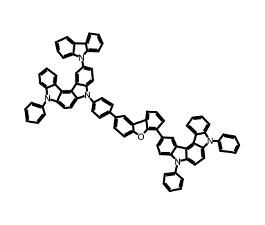 c1ccc(-n2c3ccccc3c3c4c5cc(-c6cccc7c6oc6ccc(-c8ccc(-n9c%10ccc(-n%11c%12ccccc%12c%12ccccc%12%11)cc%10c%10c%11c%12ccccc%12n(-c%12ccccc%12)c%11ccc%109)cc8)cc67)ccc5n(-c5ccccc5)c4ccc32)cc1